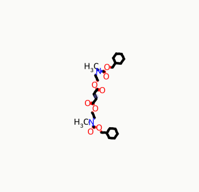 CN(CCOC(=O)/C=C/C(=O)OCCN(C)C(=O)OCC1CCCCC1)C(=O)OCC1CCCCC1